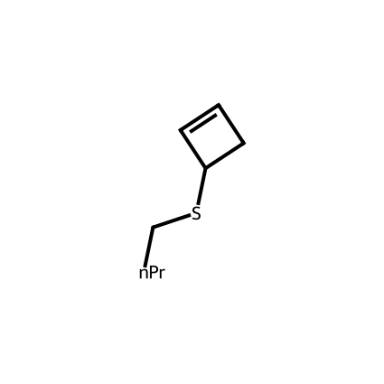 CCCCSC1C=CC1